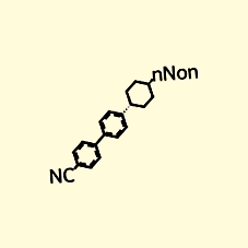 CCCCCCCCC[C@H]1CC[C@H](c2ccc(-c3ccc(C#N)cc3)cc2)CC1